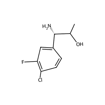 CC(O)[C@@H](N)c1ccc(Cl)c(F)c1